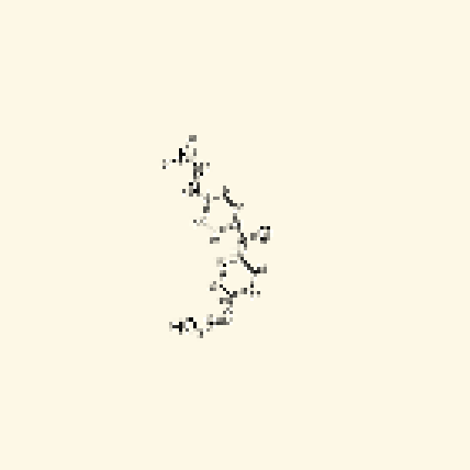 CN(C)N=Nc1ccc(C(=O)c2ccc(OS(=O)(=O)O)cc2)cc1